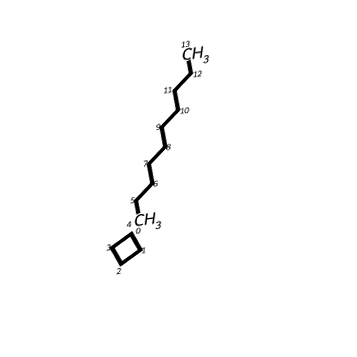 C1CCC1.CCCCCCCCCC